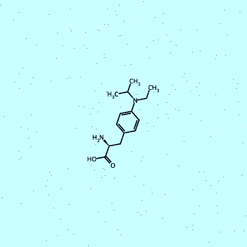 CCN(c1ccc(C[C@H](N)C(=O)O)cc1)C(C)C